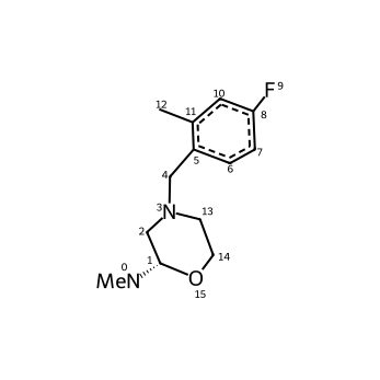 CN[C@@H]1CN(Cc2ccc(F)cc2C)CCO1